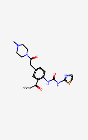 CCCCCC(=O)c1cc(CC(=O)N2CCN(C)CC2)ccc1NC(=O)Nc1nccs1